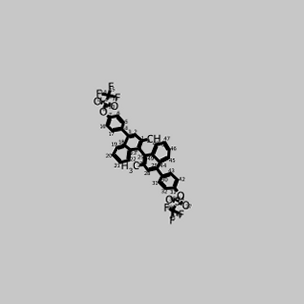 Cc1cc(-c2ccc(OS(=O)(=O)C(F)(F)F)cc2)c2ccccc2c1-c1c(C)cc(-c2ccc(OS(=O)(=O)C(F)(F)F)cc2)c2ccccc12